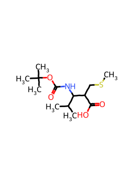 CSCC(C(=O)O)C(NC(=O)OC(C)(C)C)C(C)C